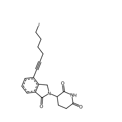 O=C1CCC(N2Cc3c(C#CCCCCI)cccc3C2=O)C(=O)N1